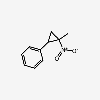 CC1([N+](=O)[O-])CC1c1ccccc1